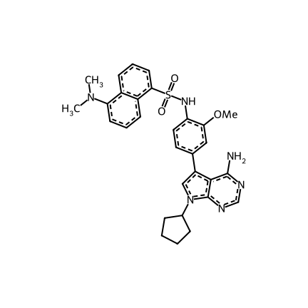 COc1cc(-c2cn(C3CCCC3)c3ncnc(N)c23)ccc1NS(=O)(=O)c1cccc2c(N(C)C)cccc12